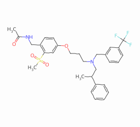 CC(=O)NCc1ccc(OCCCN(Cc2cccc(C(F)(F)F)c2)CC(C)c2ccccc2)cc1S(C)(=O)=O